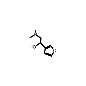 CN(C)CC(O)c1ccoc1